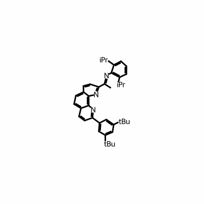 CC(=Nc1c(C(C)C)cccc1C(C)C)c1ccc2ccc3ccc(-c4cc(C(C)(C)C)cc(C(C)(C)C)c4)nc3c2n1